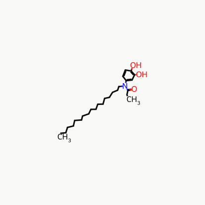 CCCCCCCCCCCCCCCCCCN(C(=O)CC)c1ccc(O)c(O)c1